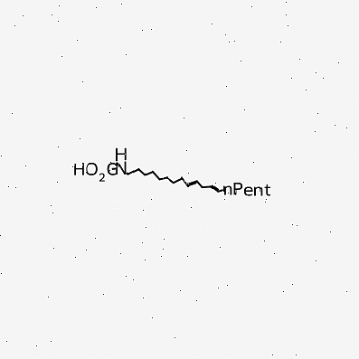 CCCCCC=CCC=CCCCCCCCCNC(=O)O